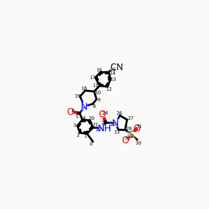 Cc1ccc(C(=O)N2CCC(c3ccc(C#N)cc3)CC2)cc1NC(=O)N1CCC(S(C)(=O)=O)C1